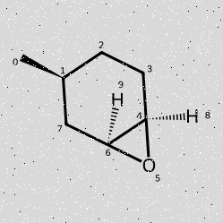 C[C@H]1CC[C@H]2O[C@H]2C1